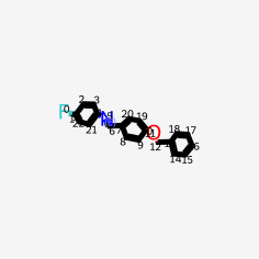 Fc1ccc(/N=C/c2ccc(OCc3ccccc3)cc2)cc1